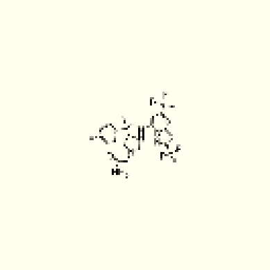 C[C@](CNc1cc(C(F)(F)F)nc2cc(C(F)(F)F)nn12)(c1ccc(F)cc1)[C@H]1CCN(CC(N)=O)C1